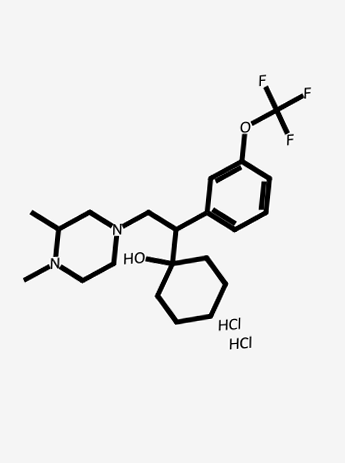 CC1CN(CC(c2cccc(OC(F)(F)F)c2)C2(O)CCCCC2)CCN1C.Cl.Cl